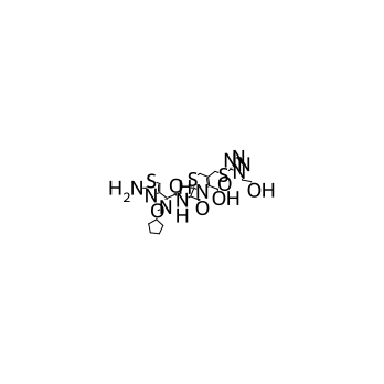 Nc1nc(C(=NOC2CCCC2)C(=O)NC2C(=O)N3C(C(=O)O)=C(CSc4nnnn4CCO)CS[C@@H]23)cs1